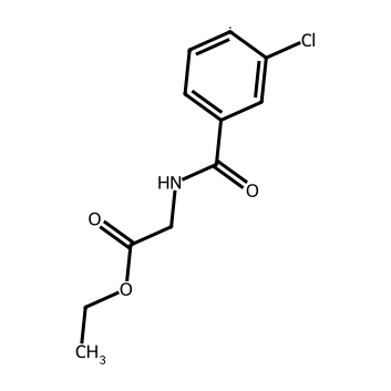 CCOC(=O)CNC(=O)c1cc[c]c(Cl)c1